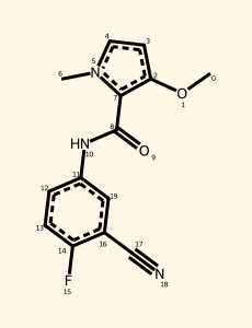 COc1ccn(C)c1C(=O)Nc1ccc(F)c(C#N)c1